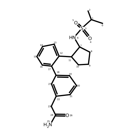 CC(C)S(=O)(=O)NC1CCCC1c1ccccc1-c1cccc(CC(N)=O)c1